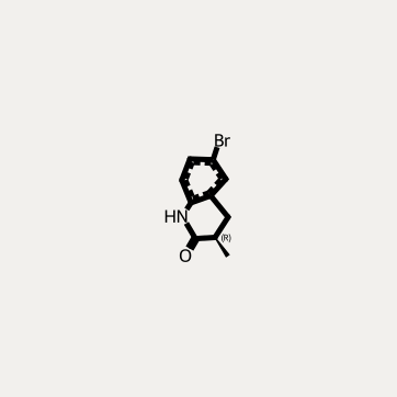 C[C@@H]1Cc2cc(Br)ccc2NC1=O